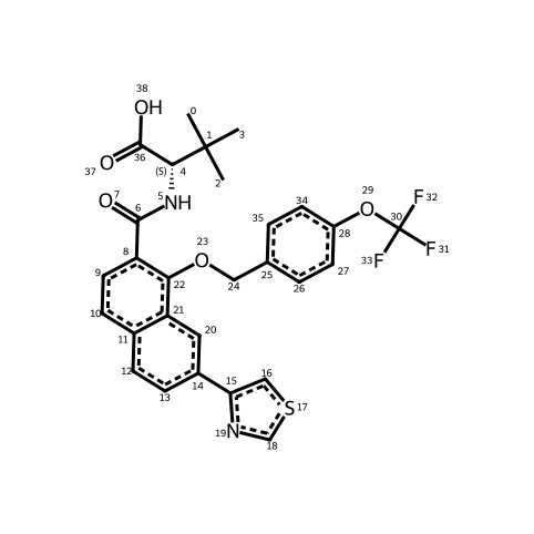 CC(C)(C)[C@H](NC(=O)c1ccc2ccc(-c3cscn3)cc2c1OCc1ccc(OC(F)(F)F)cc1)C(=O)O